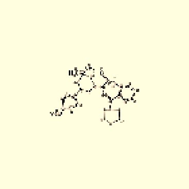 COc1ccc(C2CC(N3N=C(C4CCCCC4)c4ccccc4NC3=O)CC(C)(C)C2)cc1